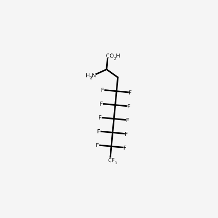 NC(CC(F)(F)C(F)(F)C(F)(F)C(F)(F)C(F)(F)C(F)(F)F)C(=O)O